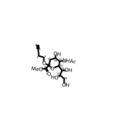 C#CCCOC1(C(=O)OC)CC(O)C(NC(C)=O)C(C(O)C(O)CO)O1